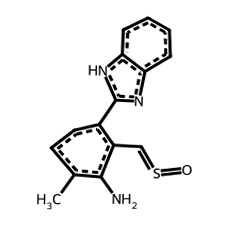 Cc1ccc(-c2nc3ccccc3[nH]2)c(C=S=O)c1N